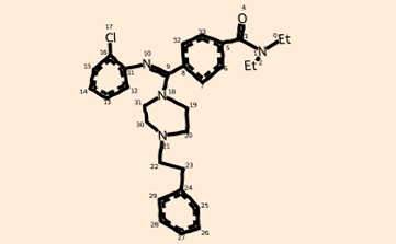 CCN(CC)C(=O)c1ccc(C(=Nc2ccccc2Cl)N2CCN(CCc3ccccc3)CC2)cc1